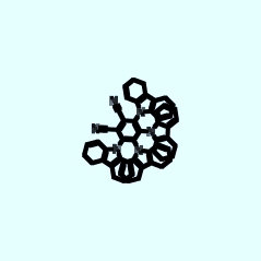 N#Cc1c(C#N)c(-n2c3c(c4c2C=CCC4)CCC=C3)c(-n2c3c(c4ccccc42)CCCC3)c(-n2c3c(c4c2C=CCC4)CCC=C3)c1-n1c2c(c3c1C=CCC3)CCC=C2